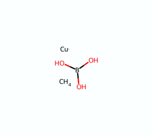 C.OB(O)O.[Cu]